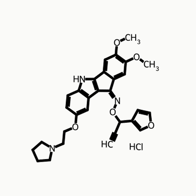 C#CC(O/N=C1/c2cc(OC)c(OC)cc2-c2[nH]c3ccc(OCCN4CCCC4)cc3c21)c1ccoc1.Cl